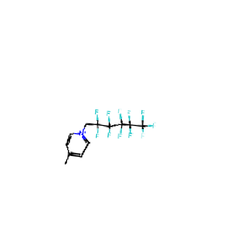 Cc1cc[n+](CC(F)(F)C(F)(F)C(F)(F)C(F)(F)C(F)(F)F)cc1